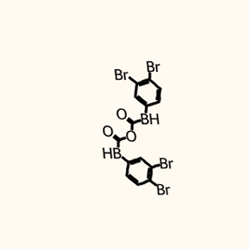 O=C(Bc1ccc(Br)c(Br)c1)OC(=O)Bc1ccc(Br)c(Br)c1